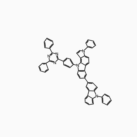 c1ccc(-c2nc(-c3ccccc3)nc(-c3ccc(-n4c5ccc(-c6ccc7c(c6)c6ccccc6n7-c6ccccc6)cc5c5ccc6c(ccn6-c6ccccc6)c54)cc3)n2)cc1